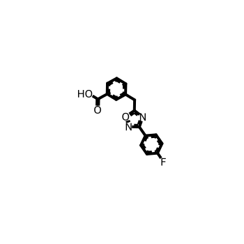 O=C(O)c1cccc(Cc2nc(-c3ccc(F)cc3)no2)c1